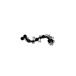 C[C@@H](Cc1cccc(CC(=O)NCc2ccc(CNC(=O)CCN3CCC(OC(=O)Nc4ccccc4-c4ccccc4)CC3)cc2)c1)NC[C@@H](O)c1ccc(O)c2[nH]c(=O)ccc12